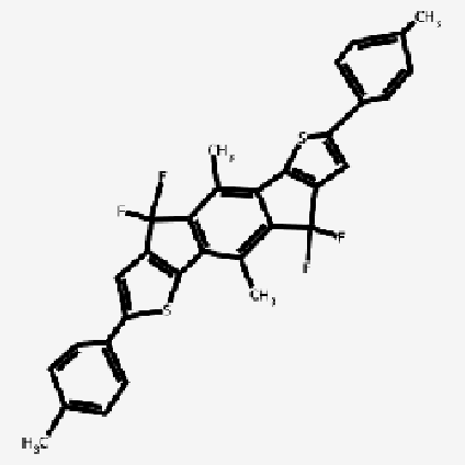 Cc1ccc(-c2cc3c(s2)-c2c(C)c4c(c(C)c2C3(F)F)-c2sc(-c3ccc(C)cc3)cc2C4(F)F)cc1